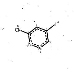 Clc1cc(I)cnn1